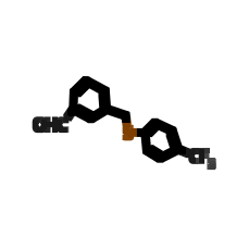 O=Cc1cccc(CSc2ccc(C(F)(F)F)cc2)c1